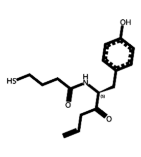 C=CCC(=O)[C@H](Cc1ccc(O)cc1)NC(=O)CCCS